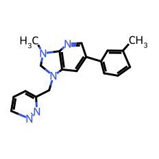 Cc1cccc(-c2cnc3c(c2)N(Cc2cccnn2)CN3C)c1